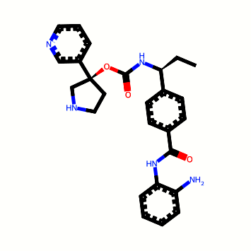 CC[C@H](NC(=O)O[C@@]1(c2cccnc2)CCNC1)c1ccc(C(=O)Nc2ccccc2N)cc1